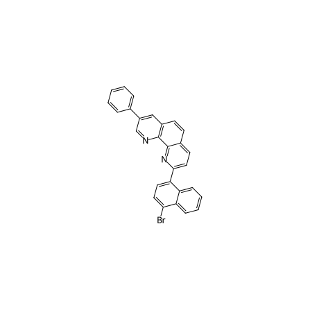 Brc1ccc(-c2ccc3ccc4cc(-c5ccccc5)cnc4c3n2)c2ccccc12